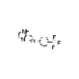 FC(F)(F)c1ccc(NCc2ncc[nH]2)cc1